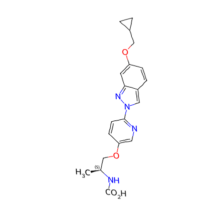 C[C@@H](COc1ccc(-n2cc3ccc(OCC4CC4)cc3n2)nc1)NC(=O)O